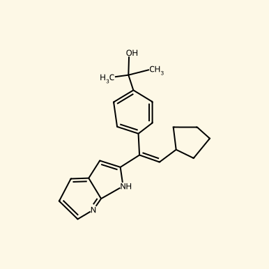 CC(C)(O)c1ccc(C(=CC2CCCC2)c2cc3cccnc3[nH]2)cc1